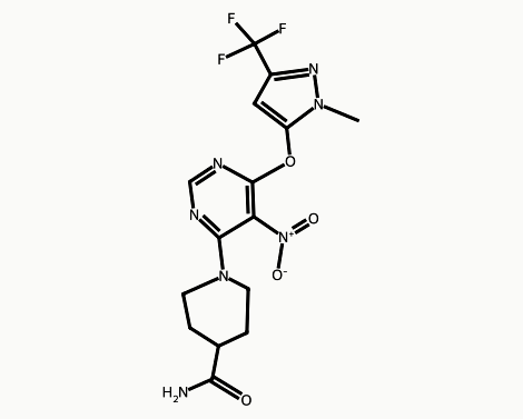 Cn1nc(C(F)(F)F)cc1Oc1ncnc(N2CCC(C(N)=O)CC2)c1[N+](=O)[O-]